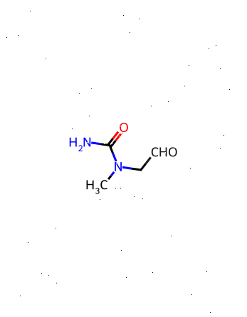 CN(CC=O)C(N)=O